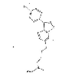 CCCCCN(C)CCCCc1ccc2c(-c3ccc(Br)cc3)nsc2c1